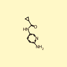 Nc1ccc(NC(=O)C2CC2)cn1